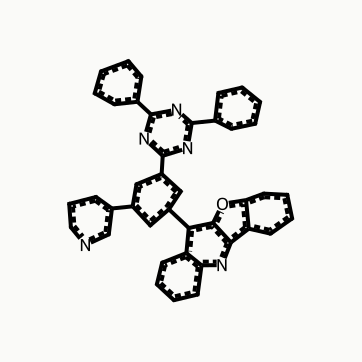 c1ccc(-c2nc(-c3ccccc3)nc(-c3cc(-c4cccnc4)cc(-c4c5ccccc5nc5c4oc4ccccc45)c3)n2)cc1